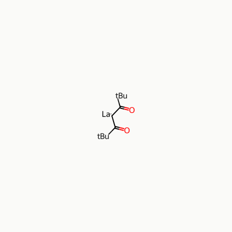 CC(C)(C)C(=O)CC(=O)C(C)(C)C.[La]